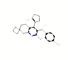 CC(C)c1ccc([C@@H](O)c2c(C(C)C)nc3c(c2C2=CCCC2)[C@@H](O)CC2(CCC2)C3)cc1